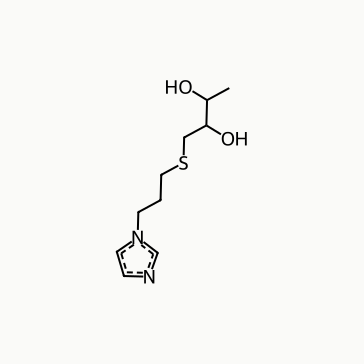 CC(O)C(O)CSCCCn1ccnc1